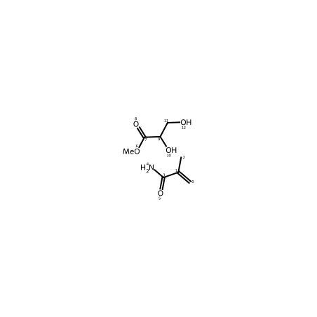 C=C(C)C(N)=O.COC(=O)C(O)CO